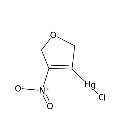 O=[N+]([O-])C1=[C]([Hg][Cl])COC1